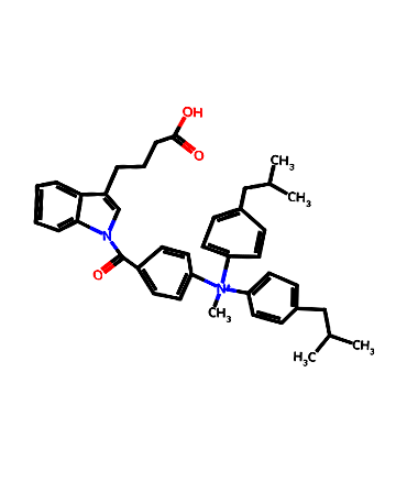 CC(C)Cc1ccc([N+](C)(c2ccc(CC(C)C)cc2)c2ccc(C(=O)n3cc(CCCC(=O)O)c4ccccc43)cc2)cc1